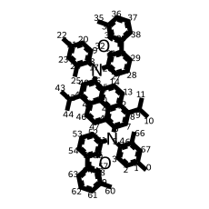 Cc1ccc(N(c2cc(C(C)C)c3ccc4c(N(c5ccc(C)cc5C)c5cccc6c5oc5c(C)cccc56)cc(C(C)C)c5ccc2c3c54)c2cccc3c2oc2c(C)cccc23)c(C)c1